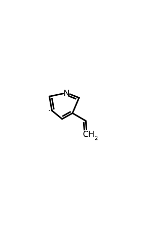 C=Cc1c[c]cnc1